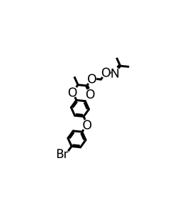 CC(C)=NOCOC(=O)C(C)Oc1ccc(Oc2ccc(Br)cc2)cc1